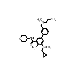 Cc1c(C(=O)NC2CCOCC2)cc(-c2cccc(CN(C)CCN)c2)cc1N(C)CC1CC1